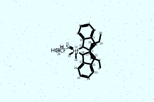 CCCC1=Cc2ccccc2[CH]1[Hf]([CH3])([CH3])(=[SiH2])[CH]1C(CCC)=Cc2ccccc21.Cl.Cl